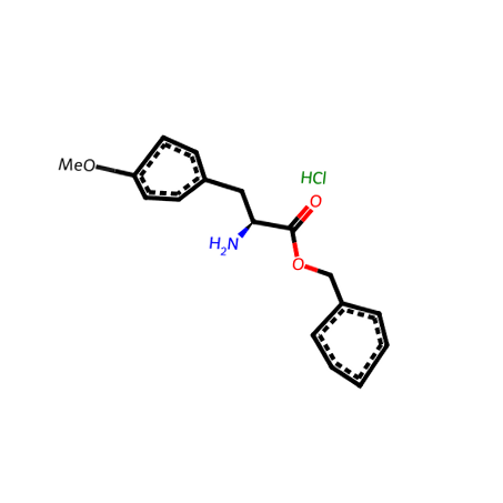 COc1ccc(C[C@H](N)C(=O)OCc2ccccc2)cc1.Cl